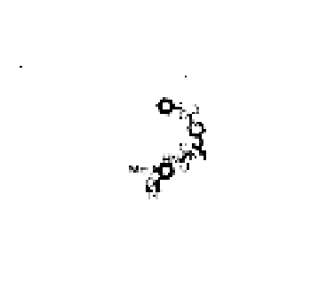 COc1cc(NC(=O)C(=O)NC(C)(C)CC2CCN(C(=O)OCc3ccccc3)CC2)ccc1-c1cnco1